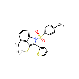 [2H]c1cccc2c1c(SC)c(-c1cccs1)n2S(=O)(=O)c1ccc(C)cc1